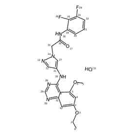 CCOc1cc(OC)c2c(Nc3cnn(CC(=O)Nc4cccc(F)c4F)c3)ncnc2c1.Cl